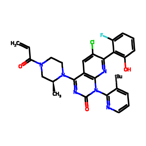 C=CC(=O)N1CCN(c2nc(=O)n(-c3ncccc3C(C)(C)C)c3nc(-c4c(O)cccc4F)c(Cl)cc23)[C@@H](C)C1